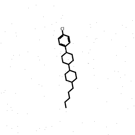 CCCCCC1CCC(C2CCC(c3ccc(Cl)cc3)CC2)CC1